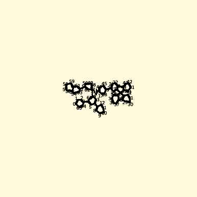 c1ccc(-c2cc(-c3ccccc3)cc(N(c3ccc(-c4ccc5c(c4)C(c4ccccc4)(c4ccccc4)c4ccccc4-5)cc3)c3cccc(-c4ccc5ccccc5c4)c3)c2)cc1